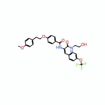 COc1ccc(CCOc2ccc(C(=O)NC(=Cc3ccc(OC(F)(F)F)cc3)C(=O)NCCO)cc2)cc1